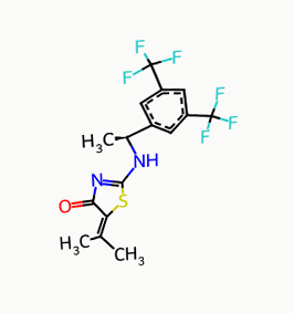 CC(C)=C1SC(N[C@@H](C)c2cc(C(F)(F)F)cc(C(F)(F)F)c2)=NC1=O